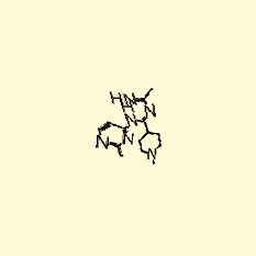 CC(=N)/N=C(\Nc1ccnc(C)n1)C1CCN(C)CC1